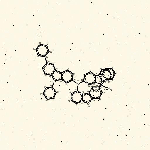 CC1(C)c2ccccc2-c2ccc(N(c3ccc4c5cc(-c6ccccc6)ccc5n(-c5ccccc5)c4c3)c3cccc4oc5ccc(-c6ccccc6)cc5c34)cc21